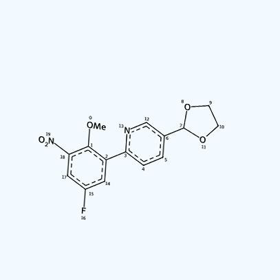 COc1c(-c2ccc(C3OCCO3)cn2)cc(F)cc1[N+](=O)[O-]